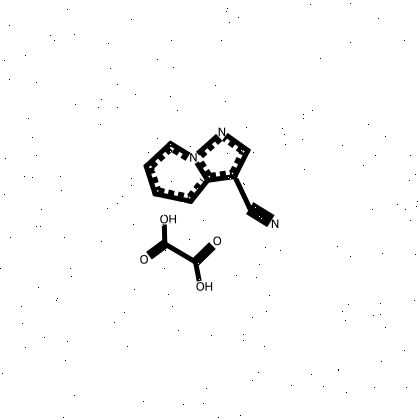 N#Cc1cnn2ccccc12.O=C(O)C(=O)O